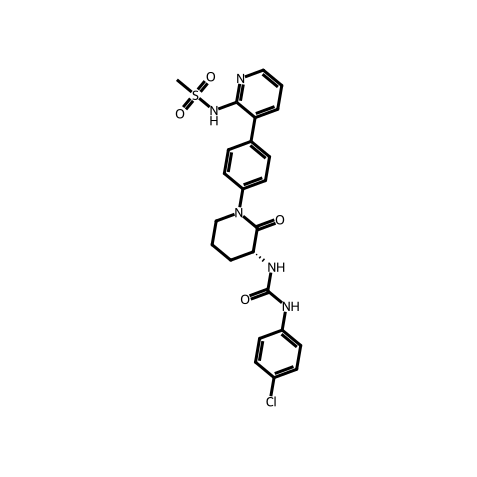 CS(=O)(=O)Nc1ncccc1-c1ccc(N2CCC[C@@H](NC(=O)Nc3ccc(Cl)cc3)C2=O)cc1